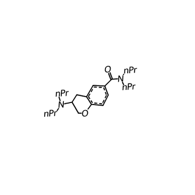 CCCN(CCC)C(=O)c1ccc2c(c1)CC(N(CCC)CCC)CO2